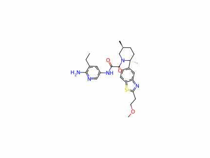 CCc1cc(NC(=O)C(=O)N2C[C@@H](C)CC[C@@]2(C)c2ccc3sc(CCOC)nc3c2)cnc1N